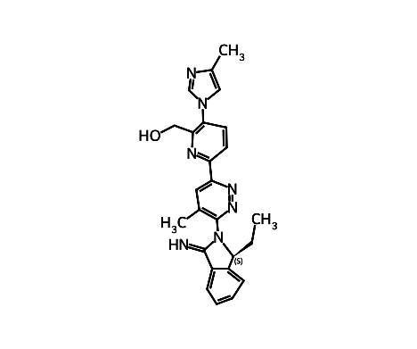 CC[C@H]1c2ccccc2C(=N)N1c1nnc(-c2ccc(-n3cnc(C)c3)c(CO)n2)cc1C